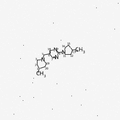 CC1CCN(Cc2cnc(N3CCC(C)CC3)nc2)CC1